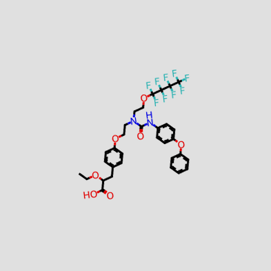 CCOC(Cc1ccc(OCCN(CCOC(F)(F)C(F)(F)C(F)(F)C(F)(F)F)C(=O)Nc2ccc(Oc3ccccc3)cc2)cc1)C(=O)O